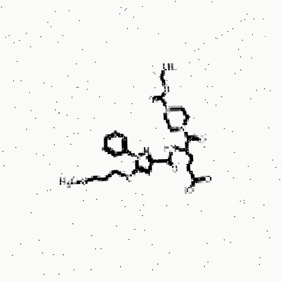 CCOC(=O)N1CCN(C(=O)C(CCC(=O)O)NC(=O)c2cc(OCCCSC)n(-c3ccccc3)n2)CC1